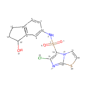 O=S(=O)(Nc1ccc2c(c1)C(O)CC2)c1c(Cl)nc2sccn12